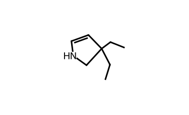 CCC1(CC)C=CNC1